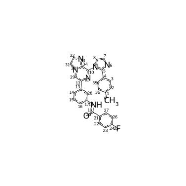 Cc1ccc(-c2nccn2-c2nc(-c3cccc(NC(=O)c4ccc(F)cc4)c3)cn3ccnc23)cc1